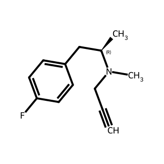 C#CCN(C)[C@H](C)Cc1ccc(F)cc1